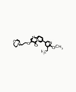 CCc1cc(-c2ccc3ncc(OCCN4CCOCC4)c(=O)n3c2)cnc1OC